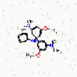 COC1=CC(Nc2ccccc2)(c2cc(OC)cc(N(C)C)c2)CC(N(C)C)=C1